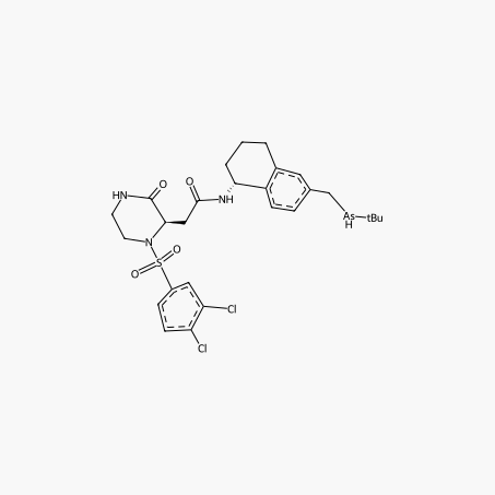 CC(C)(C)[AsH]Cc1ccc2c(c1)CCC[C@H]2NC(=O)C[C@@H]1C(=O)NCCN1S(=O)(=O)c1ccc(Cl)c(Cl)c1